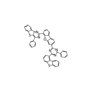 c1ccc(-c2nc(-c3ccc4c(c3)oc3c(-c5nc(-c6ccccc6)c6sc7ccccc7c6n5)cccc34)nc(-c3cccc4sc5ccccc5c34)n2)cc1